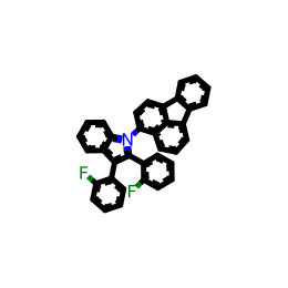 Fc1ccccc1-c1c(-c2ccccc2F)n(-c2ccc3c4c(cccc24)-c2ccccc2-3)c2ccccc12